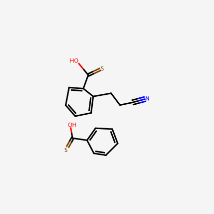 N#CCCc1ccccc1C(O)=S.OC(=S)c1ccccc1